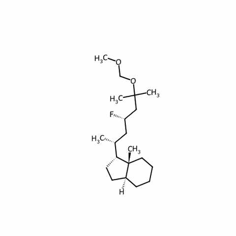 COCOC(C)(C)C[C@@H](F)C[C@@H](C)[C@H]1CC[C@@H]2CCCC[C@]21C